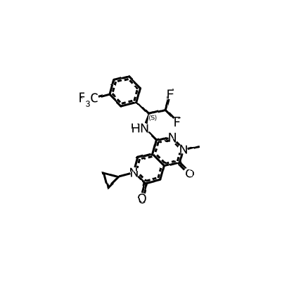 Cn1nc(N[C@@H](c2cccc(C(F)(F)F)c2)C(F)F)c2cn(C3CC3)c(=O)cc2c1=O